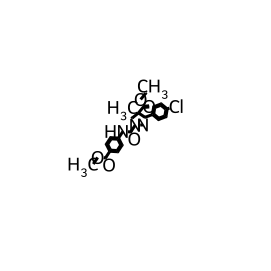 CCOC(=O)C1(C)CN(C(=O)Nc2ccc(C(=O)OC)cc2)N=C1c1ccc(Cl)cc1